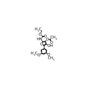 CCOC(=O)Nc1oc(-c2cc(OC)cc(OC)c2)c(O)c1OC(C)=O